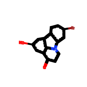 O=c1ccn2c3cc(Br)ccc3c3cc(O)cc1c32